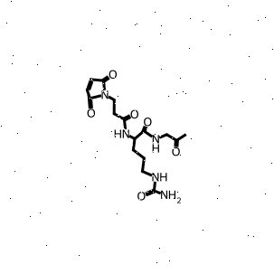 CC(=O)CNC(=O)C(CCCNC(N)=O)NC(=O)CCN1C(=O)C=CC1=O